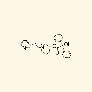 C[N+]1(CCc2cccnc2)CCC[C@@H](OC(=O)C(O)(c2ccccc2)c2ccccc2)C1